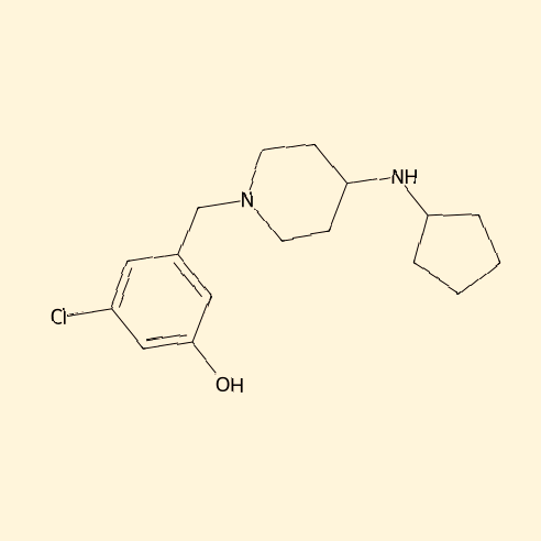 Oc1cc(Cl)cc(CN2CCC(NC3CCCC3)CC2)c1